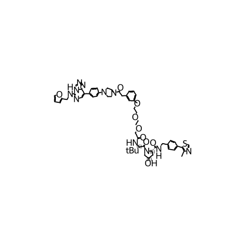 Cc1ncsc1-c1ccc(CNC(=O)[C@@H]2C[C@@H](O)CN2C(=O)[C@@H](NC(=O)COCCOCCOc2cccc(CC(=O)N3CCN(c4ccc(-c5cnc(NCc6ccco6)n6cnnc56)cc4)CC3)c2)C(C)(C)C)cc1